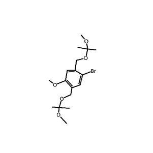 COc1cc(COC(C)(C)OC)c(Br)cc1COC(C)(C)OC